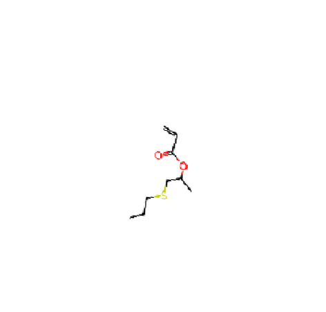 C=CC(=O)OC(C)CSCCC